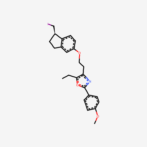 CCc1oc(-c2ccc(OC)cc2)nc1CCOc1ccc2c(c1)CC[C@H]2CI